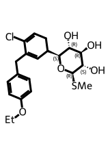 CCOc1ccc(CC2=CC([C@@H]3O[C@H](SC)[C@@H](O)[C@H](O)[C@H]3O)CC=C2Cl)cc1